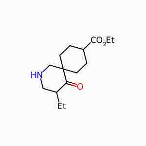 CCOC(=O)C1CCC2(CC1)CNCC(CC)C2=O